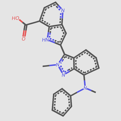 CN(c1ccccc1)c1cccc2c(-c3cc4nccc(C(=O)O)c4[nH]3)n(C)nc12